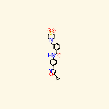 O=C(Nc1ccc(-c2cc(C3CC3)on2)cc1)c1cccc(CN2CCS(=O)(=O)CC2)c1